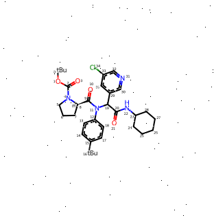 CC(C)(C)OC(=O)N1CCC[C@@H]1C(=O)N(c1ccc(C(C)(C)C)cc1)C(C(=O)NC1CCCCC1)c1cncc(Cl)c1